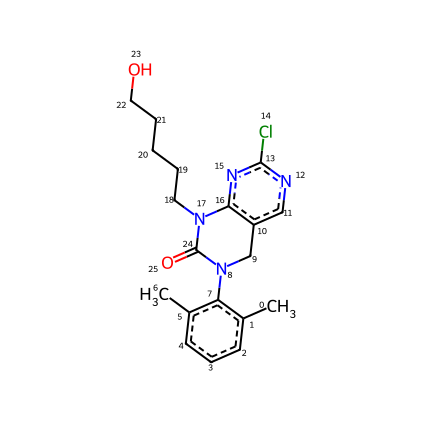 Cc1cccc(C)c1N1Cc2cnc(Cl)nc2N(CCCCCO)C1=O